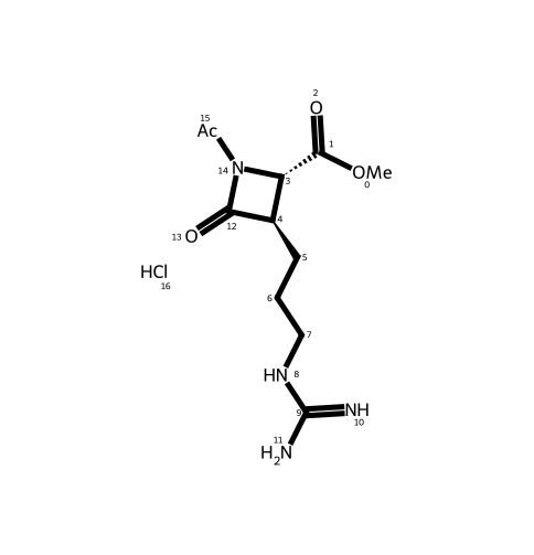 COC(=O)[C@@H]1[C@@H](CCCNC(=N)N)C(=O)N1C(C)=O.Cl